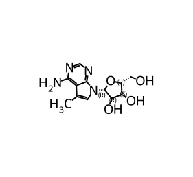 Cc1cn([C@@H]2O[C@H](CO)[C@@H](O)[C@H]2O)c2ncnc(N)c12